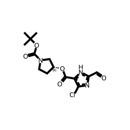 CC(C)(C)OC(=O)N1CC[C@@H](OC(=O)c2[nH]c(C=O)nc2Cl)C1